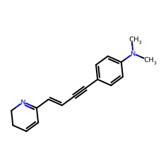 CN(C)c1ccc(C#C/C=C/C2=NCCC=C2)cc1